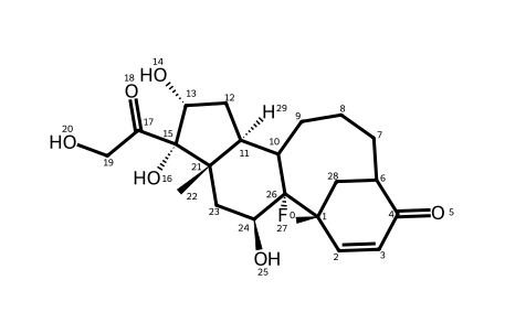 C[C@@]12C=CC(=O)C(CCCC3[C@@H]4C[C@@H](O)[C@](O)(C(=O)CO)[C@@]4(C)C[C@H](O)[C@@]31F)C2